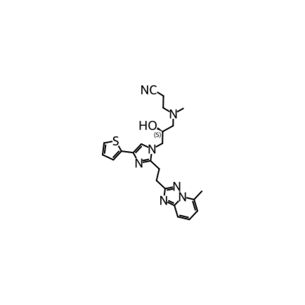 Cc1cccc2nc(CCc3nc(-c4cccs4)cn3C[C@@H](O)CN(C)CCC#N)nn12